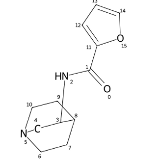 O=C(NC1CN2CCC1CC2)c1ccco1